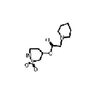 O=C(CN1CCCCC1)OC1CCNS(=O)(=O)C1